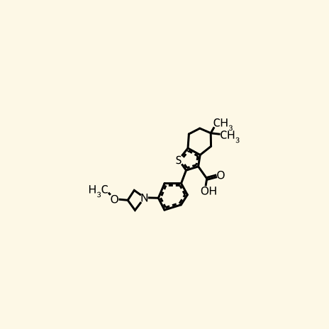 COC1CN(c2cccc(-c3sc4c(c3C(=O)O)CC(C)(C)CC4)c2)C1